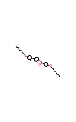 C=CCCCCCOc1ccc(C(=O)Oc2ccc(-c3ccc(OCCCCCCC)cc3)cc2)cc1